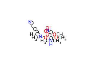 CC1=C(C(=O)OCCN(C)C/C(C)=C/c2ccc(Cc3cccnc3)cc2)C(c2cccc([N+](=O)[O-])c2)C(C(=O)OC(C)C)=C(C)N1